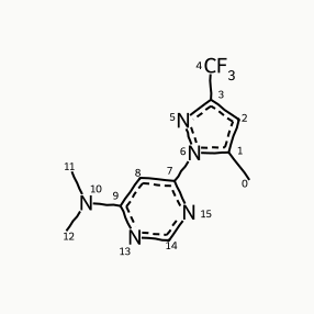 Cc1cc(C(F)(F)F)nn1-c1cc(N(C)C)ncn1